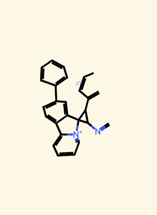 C=NC1C(C(=C)/C=C\C)C12c1cc(-c3ccccc3)ccc1-c1cccc[n+]12